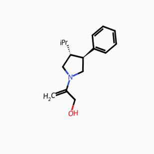 C=C(CO)N1C[C@H](c2ccccc2)[C@@H](C(C)C)C1